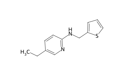 CCc1ccc(NCc2cccs2)nc1